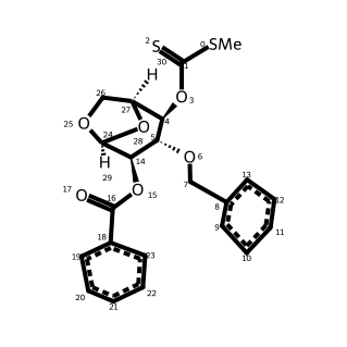 CSC(=S)O[C@H]1[C@H](OCc2ccccc2)[C@@H](OC(=O)c2ccccc2)[C@H]2OC[C@@H]1O2